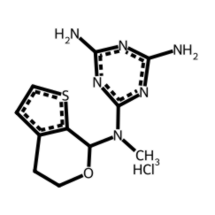 CN(c1nc(N)nc(N)n1)C1OCCc2ccsc21.Cl